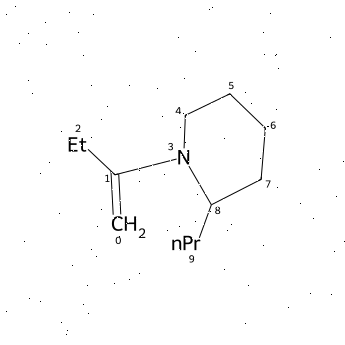 C=C(CC)N1CCCCC1CCC